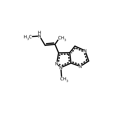 CN/C=C(\C)c1nn(C)c2ncncc12